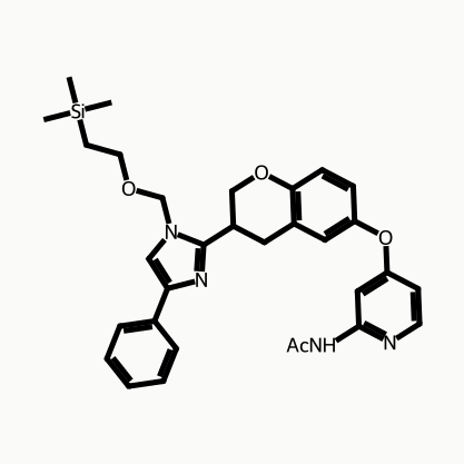 CC(=O)Nc1cc(Oc2ccc3c(c2)CC(c2nc(-c4ccccc4)cn2COCC[Si](C)(C)C)CO3)ccn1